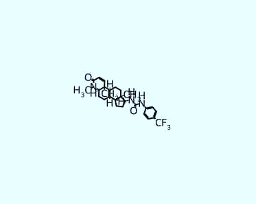 CN1C(=O)C=C[C@]2(C)[C@H]3CC[C@]4(C)[C@@H](NC(=O)Nc5ccc(C(F)(F)F)cc5)CC[C@H]4[C@@H]3CC[C@@H]12